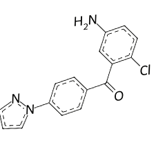 Nc1ccc(Cl)c(C(=O)c2ccc(-n3cccn3)cc2)c1